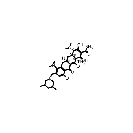 B=C1C(C(N)=O)=C(O)[C@@H](N(C)C)[C@@H]2C[C@@H]3Cc4c(c(O)cc(CN5CC(C)CC(C)C5)c4N(C)C)C(=O)C3=C(O)[C@]12P